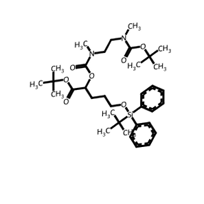 CN(CCN(C)C(=O)OC(C)(C)C)C(=O)OC(CCCO[Si](c1ccccc1)(c1ccccc1)C(C)(C)C)C(=O)OC(C)(C)C